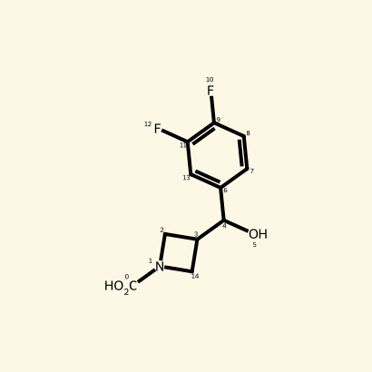 O=C(O)N1CC(C(O)c2ccc(F)c(F)c2)C1